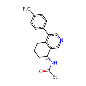 CCC(=O)N[C@H]1CCCc2c(-c3ccc(C(F)(F)F)cc3)cncc21